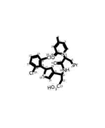 Cc1ccn(C(CC(C)C)C(=O)NC(CC(=O)O)C2=CSC(c3c(Cl)cccc3Cl)C2)c(=O)c1